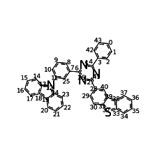 c1ccc(-c2nc(-c3cccc(-n4c5ccccc5c5ccccc54)c3)nc(-c3ccc4sc5ccccc5c4c3)n2)cc1